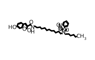 CCCCCCN(CCCCCCCCCCCCNC(=O)c1cc2ccc(O)cc2oc1=O)S(=O)(=O)c1ccccc1[N+](=O)[O-]